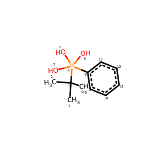 CC(C)(C)P(O)(O)(O)c1ccccc1